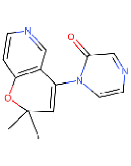 CC1(C)C=C(n2ccncc2=O)c2cnccc2O1